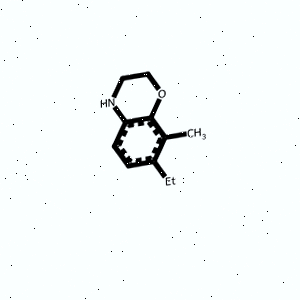 CCc1ccc2c(c1C)OCCN2